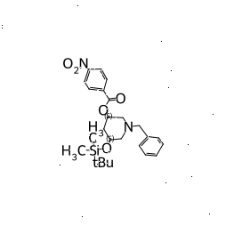 CC(C)(C)[Si](C)(C)O[C@H]1C[C@H](OC(=O)c2ccc([N+](=O)[O-])cc2)CN(Cc2ccccc2)C1